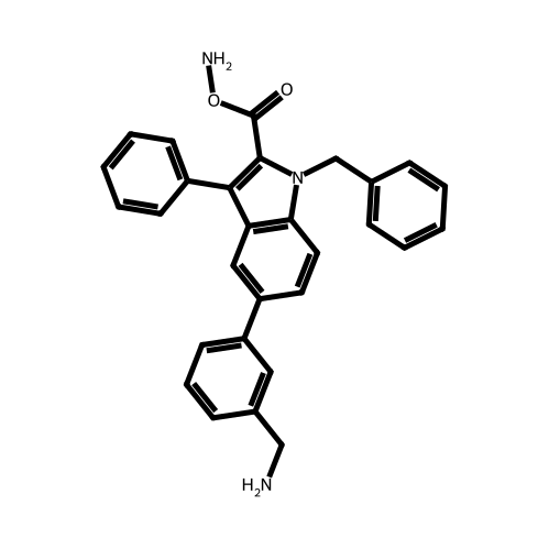 NCc1cccc(-c2ccc3c(c2)c(-c2ccccc2)c(C(=O)ON)n3Cc2ccccc2)c1